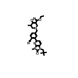 CCOc1noc2c1CN(Cc1ccc(C#N)c(-c3ccc4c(n3)n(C)c(=O)n4CC(C)(C)C)c1)CC2C